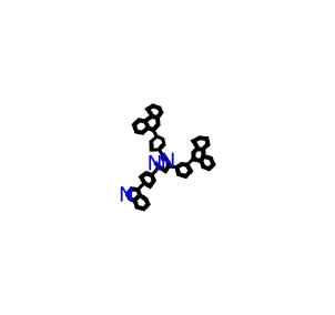 C1=CC(c2cc3ccccc3c3ccccc23)CC=C1c1nc(-c2ccc(-c3cncc4ccccc34)cc2)cc(-c2cccc(-c3cc4ccccc4c4ccccc34)c2)n1